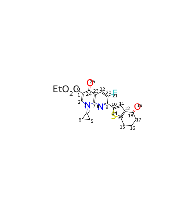 CCOC(=O)c1cn(C2CC2)c2nc(-c3cc4c(s3)CCCC4=O)c(F)cc2c1=O